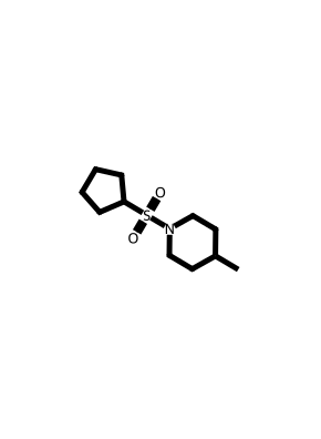 CC1CCN(S(=O)(=O)C2CCCC2)CC1